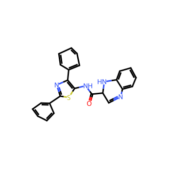 O=C(Nc1sc(-c2ccccc2)nc1-c1ccccc1)C1C=Nc2ccccc2N1